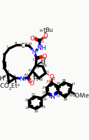 CCOC(=O)[C@@]12C[C@H]1C=CCCCCCN(NC(=O)OC(C)(C)C)C(=O)[C@@H]1C[C@H](Oc3cc(-c4ccccc4)nc4cc(OC)ccc34)C[C@H]1C(=O)N2